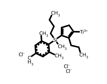 CCCC[Si](C)(C1=CC[C]([Ti+3])=C1CCC)c1c(C)cc(C)cc1C.[Cl-].[Cl-].[Cl-]